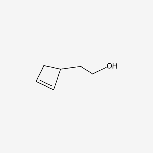 OCCC1C=CC1